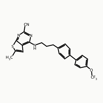 Cc1cc2c(NCCCc3ccc(-c4ccc(OC(F)(F)F)cc4)cc3)nc(C#N)nc2s1